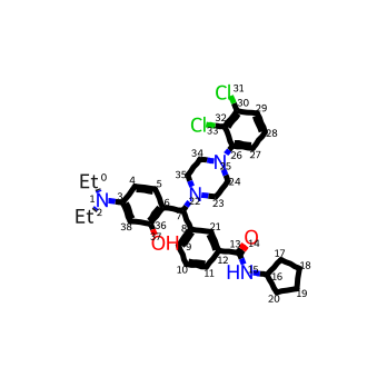 CCN(CC)c1ccc(C(c2cccc(C(=O)NC3CCCC3)c2)N2CCN(c3cccc(Cl)c3Cl)CC2)c(O)c1